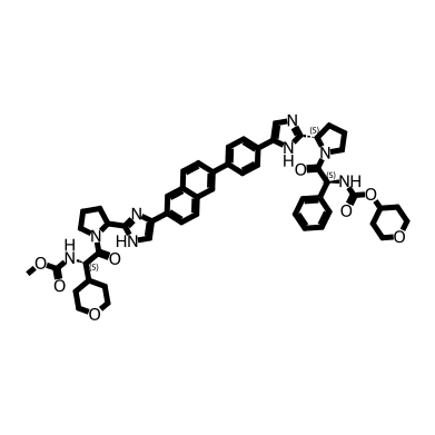 COC(=O)N[C@H](C(=O)N1CCCC1c1nc(-c2ccc3cc(-c4ccc(-c5cnc([C@@H]6CCCN6C(=O)[C@@H](NC(=O)OC6CCOCC6)c6ccccc6)[nH]5)cc4)ccc3c2)c[nH]1)C1CCOCC1